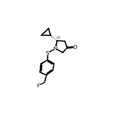 O=C1C[C@@H](C2CC2)N(Sc2ccc(CF)cc2)C1